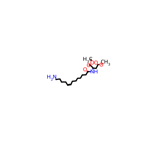 COC(=O)CC(NC(=O)CCCCCC/C=C\CCCCN)C(=O)OC